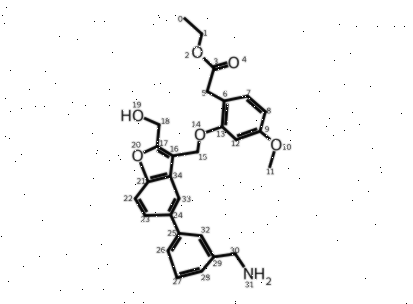 CCOC(=O)Cc1ccc(OC)cc1OCc1c(CO)oc2ccc(-c3cccc(CN)c3)cc12